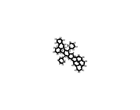 c1ccc(-c2c3cc4c(cc3c(-c3ccccn3)c3c5cc6ccccc6c6cccc(c23)c65)c2ccc3ccc5cccc6cc4c2c3c56)nc1